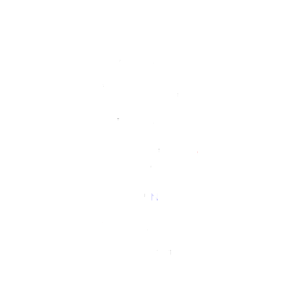 CCCC(=O)NCC(=O)c1cccc(Cl)c1